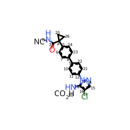 N#CNC(=O)C1(c2ccc(-c3ccc(-n4ncc(Cl)c4NC(=O)O)cc3)cc2)CC1